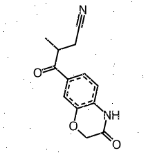 CC(CC#N)C(=O)c1ccc2c(c1)OCC(=O)N2